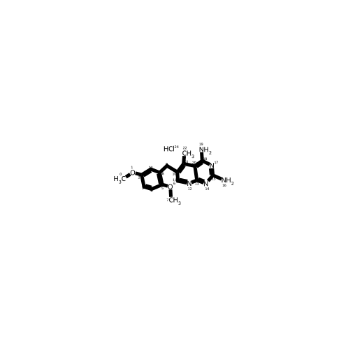 COc1ccc(OC)c(Cc2cnc3nc(N)nc(N)c3c2C)c1.Cl